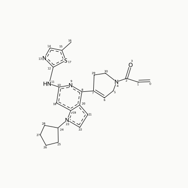 C=CC(=O)N1CC=C(c2nc(Nc3ncc(C)s3)cc3c2ccn3C2CCCC2)CC1